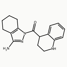 Nc1nn(C(=O)C2CCNc3ccccc32)c2c1CCCC2